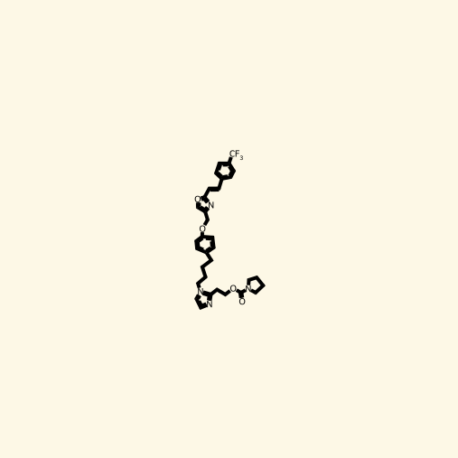 O=C(OCCc1nccn1CCCCc1ccc(OCc2coc(C=Cc3ccc(C(F)(F)F)cc3)n2)cc1)N1CCCC1